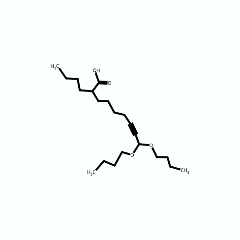 CCCCOC(C#CCCCCC(CCCC)C(=O)O)OCCCC